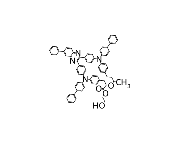 CC(=O)CCc1ccc(N(c2ccc(-c3ccccc3)cc2)c2ccc(-c3nc4ccc(-c5ccccc5)cc4nc3-c3ccc(N(c4ccc(CCC(=O)OCCO)cc4)c4ccc(-c5ccccc5)cc4)cc3)cc2)cc1